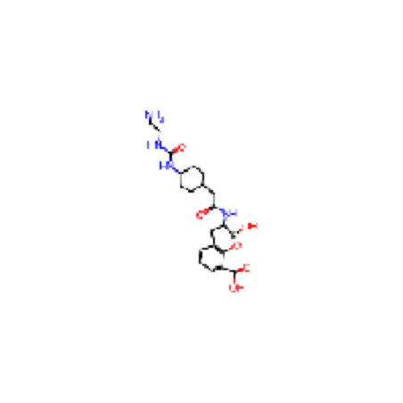 NCCNC(=O)NC1CCC(CC(=O)NC2Cc3cccc(C(=O)O)c3OB2O)CC1